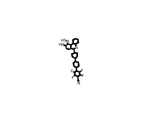 N#Cc1c(F)c(F)c(-c2ccc(-c3ccc(-c4nc5ccccc5c5c4C=CC(=N)/C5=N\S)cc3)cc2)c(F)c1F